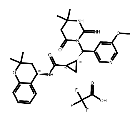 COc1cncc(C([C@@H]2C[C@H]2C(=O)N[C@@H]2CC(C)(C)Oc3ccccc32)N2C(=N)NC(C)(C)CC2=O)c1.O=C(O)C(F)(F)F